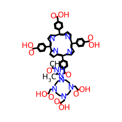 CC(=O)NC(C)N(C(=O)c1ccc(C2=C3C=CC(=N3)C(c3ccc(C(=O)O)cc3)=C3C=CC(=N3)C(c3ccc(C(=O)O)cc3)=C3C=CC(=N3)C(c3ccc(C(=O)O)cc3)=C3C=CC2=N3)cc1)N1CCN(CC(=O)O)CCN(CC(=O)O)CCN(CC(=O)O)CC1